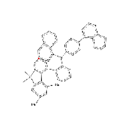 CC(C)(C)c1cc(C(C)(C)C)c2c(c1)C(C)(C)c1cccc(-c3ccccc3N(c3ccc(-c4cccc5ccccc45)cc3)c3cccc4ccccc34)c1-2